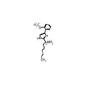 CCCCCC[C@H](N)c1nc(-c2ccccc2OC)c[nH]1